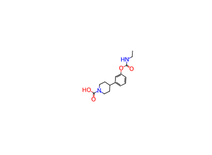 CCNC(=O)Oc1cccc(C2CCN(C(=O)O)CC2)c1